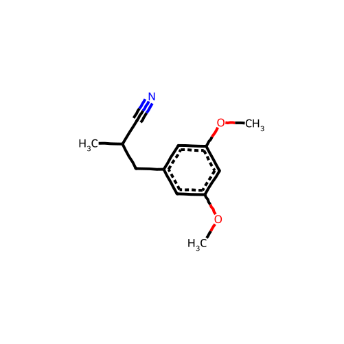 COc1cc(CC(C)C#N)cc(OC)c1